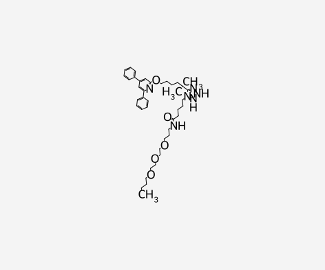 CCCCOCCOCCOCCCNC(=O)CCCCN1NNN=C1C(C)(C)CCCCOc1cc(-c2ccccc2)cc(-c2ccccc2)n1